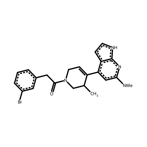 CNc1cc(C2=CCN(C(=O)Cc3cccc(Br)c3)CC2C)c2cc[nH]c2n1